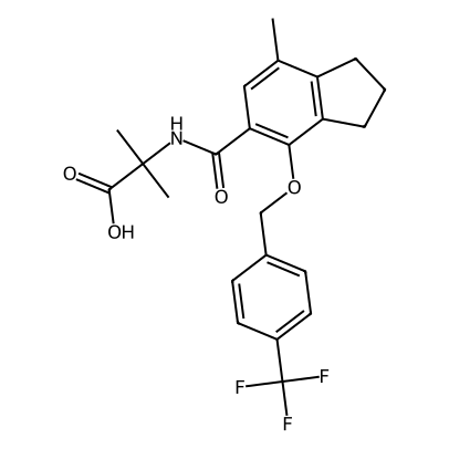 Cc1cc(C(=O)NC(C)(C)C(=O)O)c(OCc2ccc(C(F)(F)F)cc2)c2c1CCC2